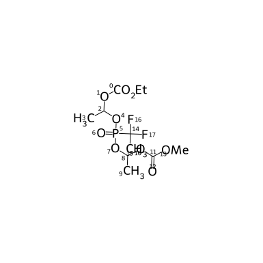 CCOC(=O)OC(C)OP(=O)(OC(C)OC(=O)OC)C(C)(F)F